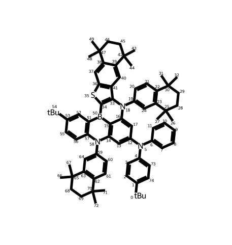 CC(C)(C)c1ccc(N(c2ccccc2)c2cc3c4c(c2)N(c2ccc5c(c2)C(C)(C)CCC5(C)C)c2c(sc5cc6c(cc25)C(C)(C)CCC6(C)C)B4c2cc(C(C)(C)C)ccc2N3c2ccc3c(c2)C(C)(C)CCC3(C)C)cc1